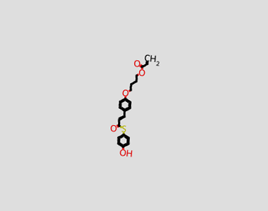 C=CC(=O)OCCCCOc1ccc(/C=C/C(=O)Sc2ccc(O)cc2)cc1